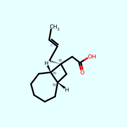 C/C=C/C[C@]1(CC(=O)O)C[C@@H]2CCCCC[C@@H]21